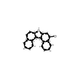 Clc1cc2oc3ccc4ccccc4c3c2c2ccccc12